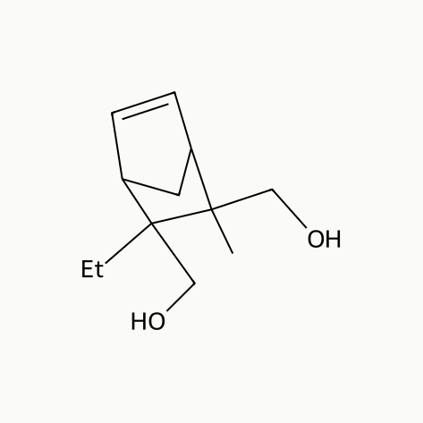 CCC1(CO)C2C=CC(C2)C1(C)CO